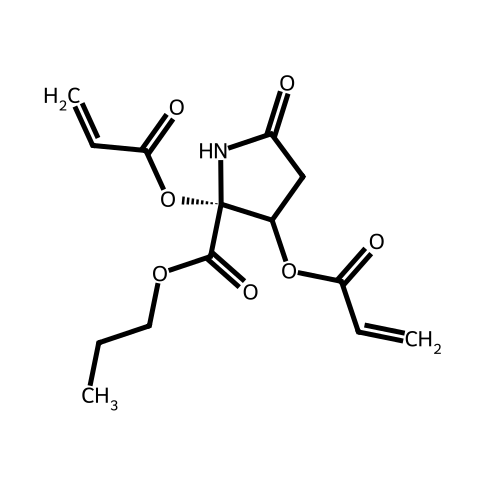 C=CC(=O)OC1CC(=O)N[C@]1(OC(=O)C=C)C(=O)OCCC